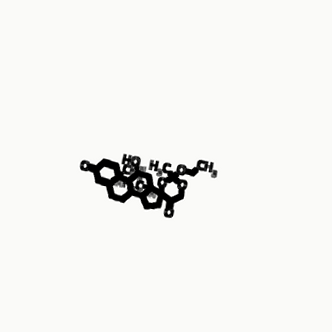 CCOC1(C)OCC(=O)C2(CCC3C4CCC5=CC(=O)C=C[C@]5(C)C4[C@@H](O)C[C@@]32C)O1